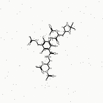 CC(=O)OCc1c(I)c(NC(=O)C(CC2COC(C)(C)O2)OC(C)=O)c(I)c(C(=O)NCC(COC(C)=O)OC(C)=O)c1I